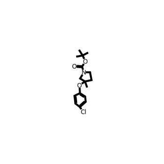 CC(C)(C)OC(=O)N1CCC(C)(Oc2ccc(Cl)cc2)C1